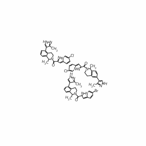 Cc1n[nH]cc1-c1ccc2c(c1)CCN(C(=O)c1cc3ccc(Cl)cn3n1)C2C.Cc1n[nH]cc1-c1cccc2c1CCN(C(=O)c1cc3ccc(Br)cn3n1)C2C.Cc1n[nH]cc1-c1cccc2c1CCN(C(=O)c1cc3ccc(Cl)cn3n1)C2C